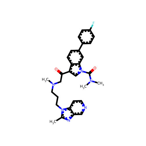 Cc1nc2cnccc2n1CCCN(C)CC(=O)c1cn(C(=O)N(C)C)c2cc(-c3ccc(F)cc3)ccc12